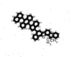 CC1(C)c2ccccc2-c2ccc3c(oc4c5ccccc5c(-c5ccc(-c6c7ccccc7c(-c7cccc8ccccc78)c7ccccc67)c6ccccc56)cc34)c21